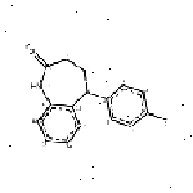 Cc1ccc(C2CCC(=O)Nc3ccccc32)cc1